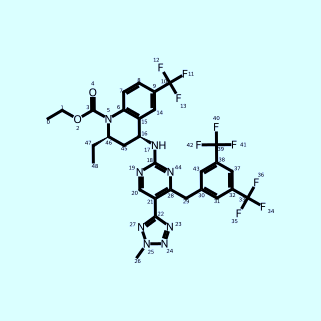 CCOC(=O)N1c2ccc(C(F)(F)F)cc2[C@@H](Nc2ncc(-c3nnn(C)n3)c(Cc3cc(C(F)(F)F)cc(C(F)(F)F)c3)n2)C[C@H]1CC